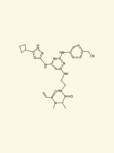 C=CC(=O)N(C)C(C)C(=O)NCCNc1cc(Nc2cc(C3CCC3)[nH]n2)nc(Nc2ccc(CC#N)cc2)n1